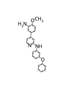 COc1ccc(-c2ccnc(Nc3cccc(Oc4ccccc4)c3)c2)cc1N